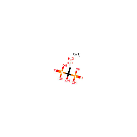 CC(O)(P(=O)(O)O)P(=O)(O)O.O.O.[CaH2]